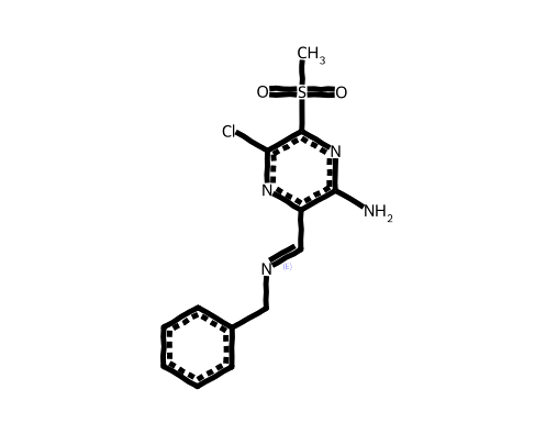 CS(=O)(=O)c1nc(N)c(/C=N/Cc2ccccc2)nc1Cl